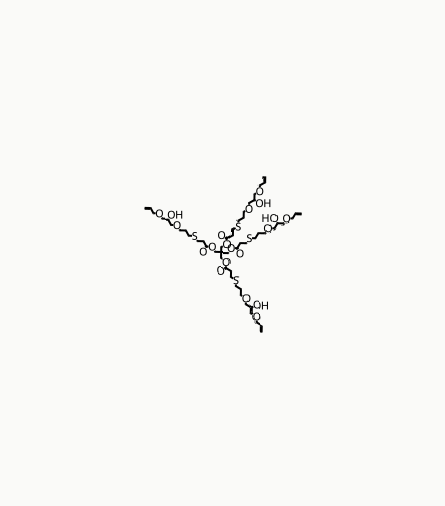 C=CCOCC(O)COCCCSCCC(=O)OCC(COC(=O)CCSCCCOCC(O)COCC=C)(COC(=O)CCSCCCOCC(O)COCC=C)COC(=O)CCSCCCOCC(O)COCC=C